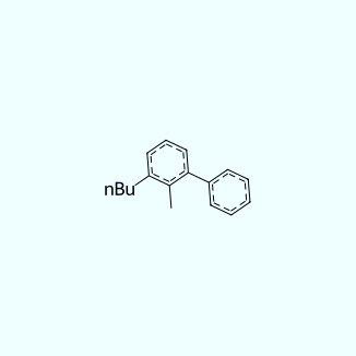 CCCCc1cccc(-c2ccccc2)c1C